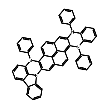 c1ccc(B2c3cccc4c3B(c3ccccc3-4)c3cc4ccc5c6c(ccc(c32)c46)cc2c5n(-c3ccccc3)c3ccccc3n2-c2ccccc2)cc1